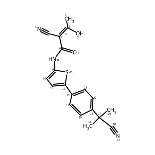 C/C(O)=C(\C#N)C(=O)Nc1ccc(-c2ccc(C(C)(C)C#N)cc2)s1